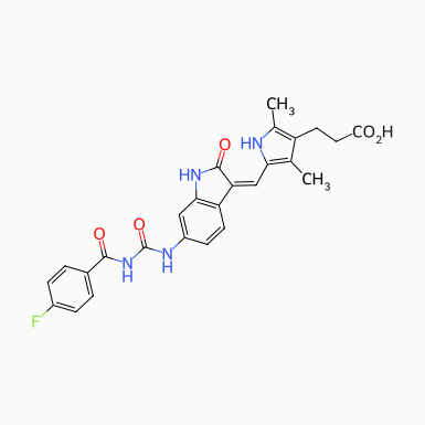 Cc1[nH]c(C=C2C(=O)Nc3cc(NC(=O)NC(=O)c4ccc(F)cc4)ccc32)c(C)c1CCC(=O)O